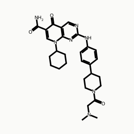 CN(C)CC(=O)N1CCC(c2ccc(Nc3ncc4c(=O)c(C(N)=O)cn(C5CCCCC5)c4n3)cc2)CC1